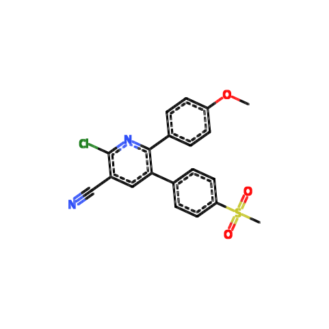 COc1ccc(-c2nc(Cl)c(C#N)cc2-c2ccc(S(C)(=O)=O)cc2)cc1